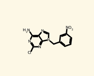 Nc1nc(Cl)nc2c1ncn2Cc1cccc([N+](=O)[O-])c1